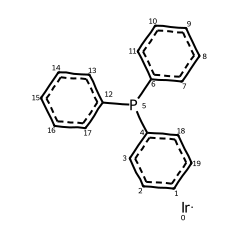 [Ir].c1ccc(P(c2ccccc2)c2ccccc2)cc1